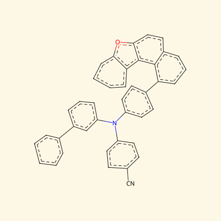 N#Cc1ccc(N(c2ccc(-c3cccc4ccc5oc6ccccc6c5c34)cc2)c2cccc(-c3ccccc3)c2)cc1